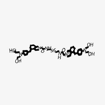 O=C(C[n+]1ccc2c(c1)CCC/C2=C\c1ccc(N(CCO)CCO)cc1)NCCSSCCNC(=O)C[n+]1ccc2c(c1)CCC/C2=C\c1ccc(N(CCO)CCO)cc1